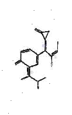 C=C1C/C1=C(\C(F)=C/C)c1ccc(=C)/c(=C(\C)C(C)C)c1